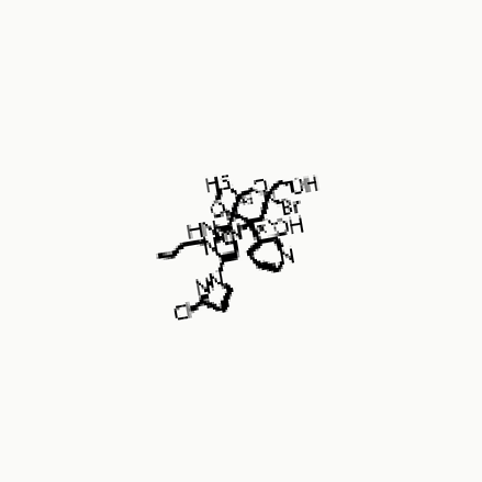 CCCCNC(=O)[C@]1(OC)[C@@H](S)O[C@](Br)(CO)[C@H](O)C1(c1cccnc1)n1cc(-n2ccc(Cl)n2)nn1